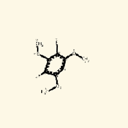 COc1cc(OC)c(F)c(OC)c1F